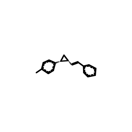 Cc1ccc([C@@H]2C[C@@H]2/C=C/c2ccccc2)cc1